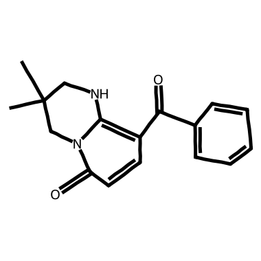 CC1(C)CNc2c(C(=O)c3ccccc3)ccc(=O)n2C1